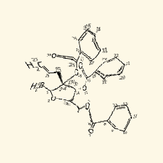 BC1OC(COC(=O)c2ccccc2)[C@@H](OC(=O)c2ccccc2)[C@@]1(CC=C)OC(=O)c1ccccc1